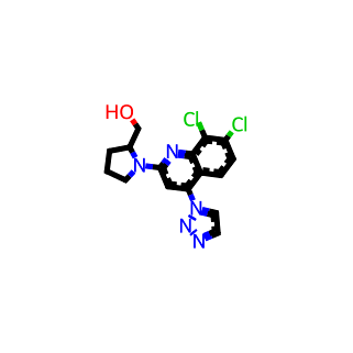 OCC1CCCN1c1cc(-n2ccnn2)c2ccc(Cl)c(Cl)c2n1